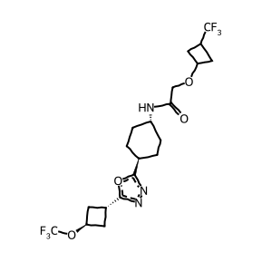 O=C(COC1CC(C(F)(F)F)C1)N[C@H]1CC[C@H](c2nnc([C@H]3C[C@H](OC(F)(F)F)C3)o2)CC1